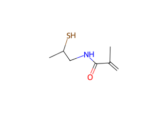 C=C(C)C(=O)NCC(C)S